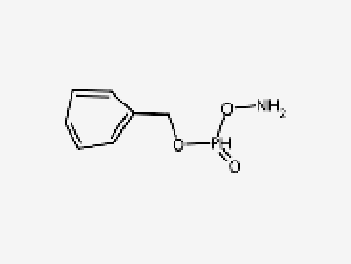 NO[PH](=O)OCc1ccccc1